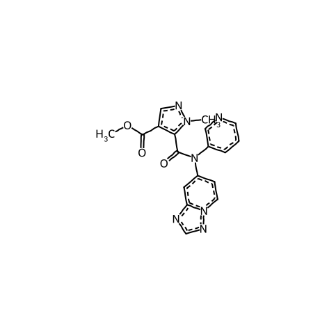 COC(=O)c1cnn(C)c1C(=O)N(c1cccnc1)c1ccn2ncnc2c1